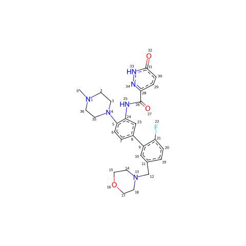 CN1CCN(c2ccc(-c3cc(CN4CCOCC4)ccc3F)cc2NC(=O)c2ccc(=O)[nH]n2)CC1